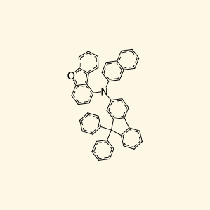 c1ccc(C2(c3ccccc3)c3ccccc3-c3ccc(N(c4ccc5ccccc5c4)c4cccc5oc6ccccc6c45)cc32)cc1